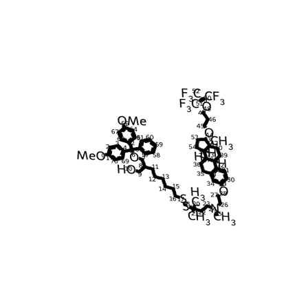 COc1ccc(C(OCC(CO)CCCCCCSSC(C)(C)CCN(C)CCOc2ccc3c(c2)CC[C@@H]2[C@@H]3CC[C@]3(C)[C@@H](OCCCOC(C(F)(F)F)(C(F)(F)F)C(F)(F)F)CC[C@@H]23)(c2ccccc2)c2ccc(OC)cc2)cc1